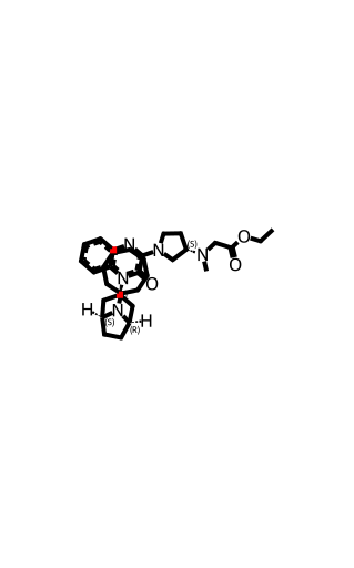 CCOC(=O)CN(C)[C@H]1CCN(c2nc3ccccc3n([C@H]3C[C@H]4CC[C@@H](C3)N4C3CCCCCCC3)c2=O)C1